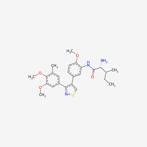 CCC(C)[C@@H](N)C(=O)Nc1cc(-c2csnc2-c2cc(C)c(OC)c(OC)c2)ccc1OC